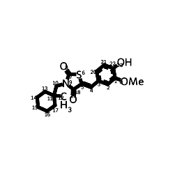 COc1cc(/C=C2\SC(=O)N(CC3(C)CCCCC3)C2=O)ccc1O